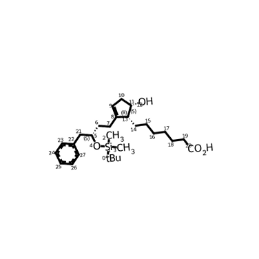 CC(C)(C)[Si](C)(C)O[C@@H](CCC1=CC[C@H](O)[C@@H]1CCCCCCC(=O)O)Cc1ccccc1